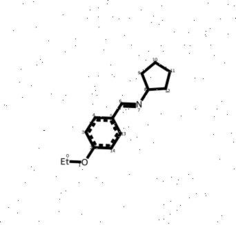 CCOc1ccc(C=NC2CCCC2)cc1